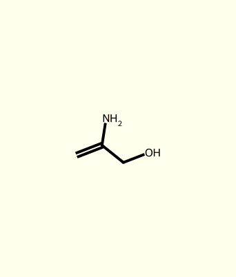 C=C(N)CO